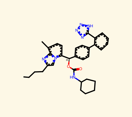 CCCCc1cn2c([C@H](OC(=O)NC3CCCCC3)c3ccc(-c4ccccc4-c4nnn[nH]4)cc3)ccc(C)c2n1